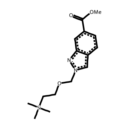 COC(=O)c1ccc2cn(COCC[Si](C)(C)C)nc2c1